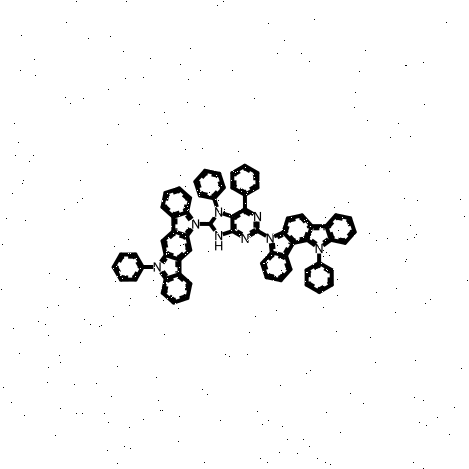 c1ccc(-c2nc(-n3c4ccccc4c4c3ccc3c5ccccc5n(-c5ccccc5)c34)nc3c2N(c2ccccc2)C(n2c4ccccc4c4cc5c(cc42)c2ccccc2n5-c2ccccc2)N3)cc1